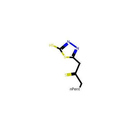 CCCCCCC(=S)[CH]c1nnc(S)s1